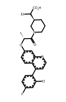 CCC(C(=O)O)[C@H]1CCCN(C(=O)[C@@H](C)Oc2ccc3c(-c4ccc(F)cc4Cl)ccnc3c2)C1